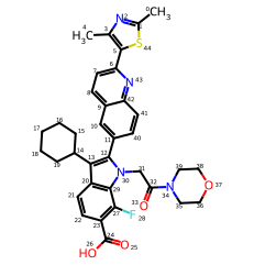 Cc1nc(C)c(-c2ccc3cc(-c4c(C5CCCCC5)c5ccc(C(=O)O)c(F)c5n4CC(=O)N4CCOCC4)ccc3n2)s1